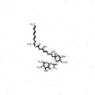 C/C=C/C=C/C=C/C[C@@H](C)OC(=O)C[C@@H](O)/C=C/C[C@H](O)C[C@]1(O)C[C@H](O)[C@@H](C(=O)O)[C@H](C[C@H](C)O[C@@H]2OC(C)[C@@H](N)C(O)C2O)O1